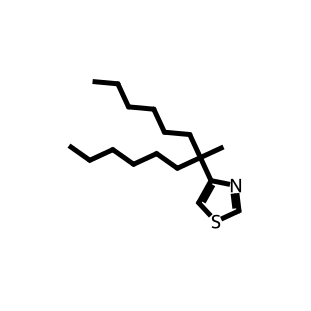 CCCCCCC(C)(CCCCCC)c1cscn1